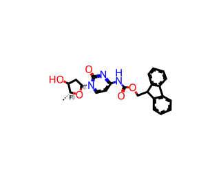 C[C@H]1O[C@@H](n2ccc(NC(=O)OCC3c4ccccc4-c4ccccc43)nc2=O)CC1O